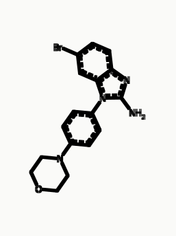 Nc1nc2ccc(Br)cc2n1-c1ccc(N2CCOCC2)cc1